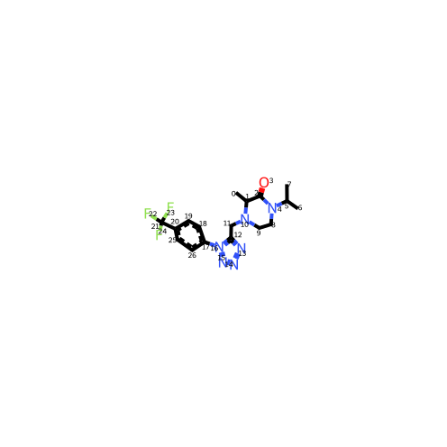 CC1C(=O)N(C(C)C)CCN1Cc1nnnn1-c1ccc(C(F)(F)F)cc1